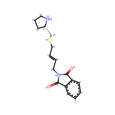 O=C1c2ccccc2C(=O)N1CC=CCSC[C@@H]1CCCN1